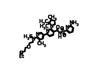 CCOCCOCCN(C)c1ncc(-c2ccc(C(=O)NS(=O)(=O)c3cccc(N)n3)c(N3CCC(C)C3(C)C)n2)cc1C